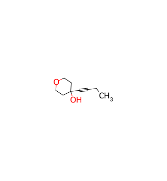 CCC#CC1(O)CCOCC1